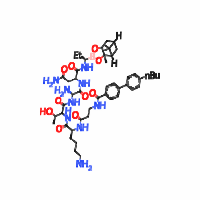 CCCCc1ccc(-c2ccc(C(=O)NCCC(=O)N[C@@H](CCCCN)C(=O)N[C@H](C(=O)N[C@@H](N)C(=O)NC(CC(N)=O)C(=O)N[C@@H](CC)B3OC4C[C@@H]5C[C@@H](C5(C)C)[C@]4(C)O3)[C@@H](C)O)cc2)cc1